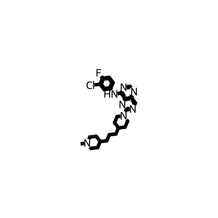 CN1CCC(CCCC2CCN(c3ncc4ncnc(Nc5ccc(F)c(Cl)c5)c4n3)CC2)CC1